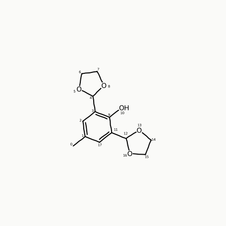 Cc1cc(C2OCCO2)c(O)c(C2OCCO2)c1